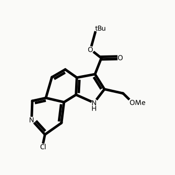 COCc1[nH]c2c(ccc3cnc(Cl)cc32)c1C(=O)OC(C)(C)C